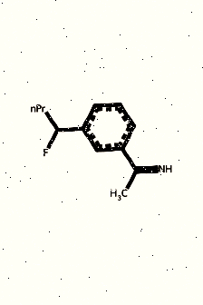 CCCC(F)c1cccc(C(C)=N)c1